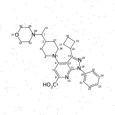 CC(C1CCN(c2cc(C(=O)O)nc3c2c(C2CCC2)nn3-c2ccccc2)CC1)N1CCOCC1